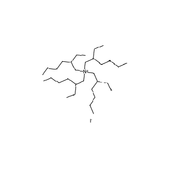 CCCCC(CC)C[N+](CC(CC)CCCC)(CC(CC)CCCC)CC(CC)CCCC.[I-]